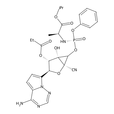 CCC(=O)O[C@H]1[C@H](c2ccc3c(N)ncnn23)O[C@]2(C#N)C(O[P@@](=O)(N[C@@H](C)C(=O)OC(C)C)Oc3ccccc3)[C@]12O